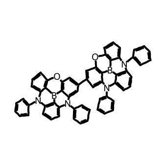 c1ccc(N2c3cccc4c3B3c5c(cc(-c6cc7c8c(c6)N(c6ccccc6)c6cccc9c6B8c6c(cccc6N9c6ccccc6)O7)cc5N(c5ccccc5)c5cccc2c53)O4)cc1